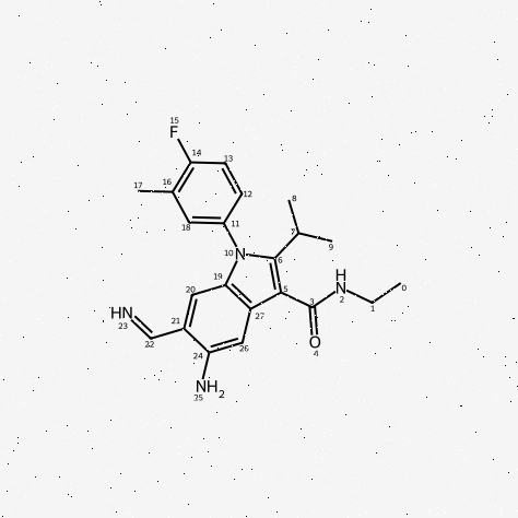 CCNC(=O)c1c(C(C)C)n(-c2ccc(F)c(C)c2)c2cc(C=N)c(N)cc12